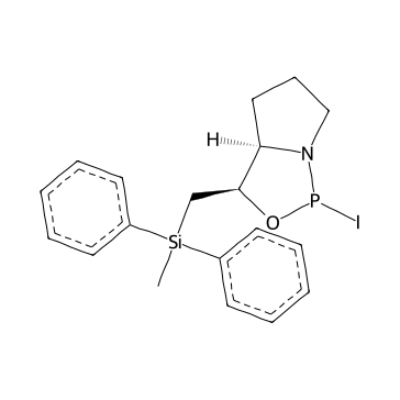 C[Si](C[C@@H]1OP(I)N2CCC[C@H]12)(c1ccccc1)c1ccccc1